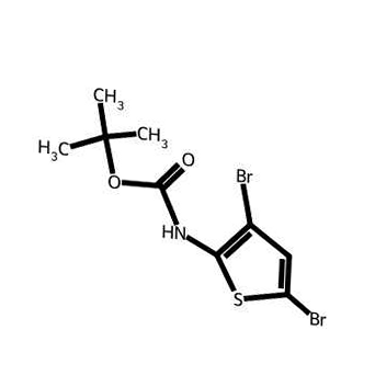 CC(C)(C)OC(=O)Nc1sc(Br)cc1Br